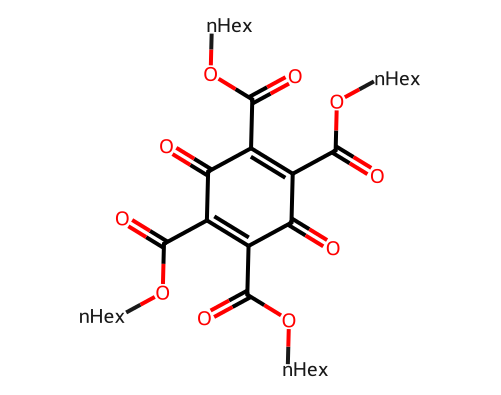 CCCCCCOC(=O)C1=C(C(=O)OCCCCCC)C(=O)C(C(=O)OCCCCCC)=C(C(=O)OCCCCCC)C1=O